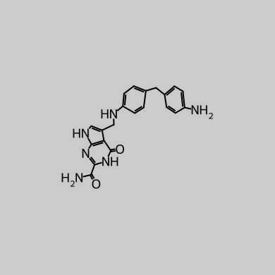 NC(=O)c1nc2[nH]cc(CNc3ccc(Cc4ccc(N)cc4)cc3)c2c(=O)[nH]1